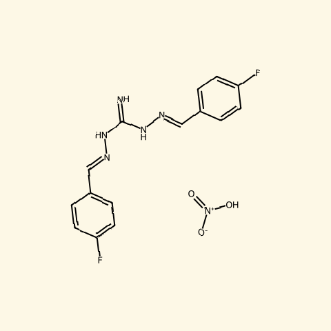 N=C(NN=Cc1ccc(F)cc1)NN=Cc1ccc(F)cc1.O=[N+]([O-])O